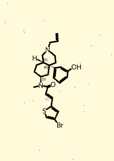 C=CCN1CC[C@@]2(c3cccc(O)c3)C[C@@H](N(C)C(=O)/C=C/c3cc(Br)cs3)CC[C@@H]2C1